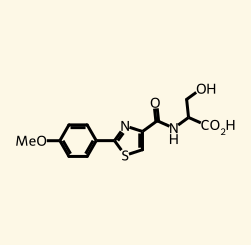 COc1ccc(-c2nc(C(=O)NC(CO)C(=O)O)cs2)cc1